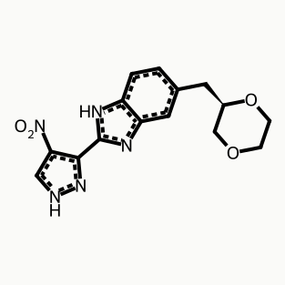 O=[N+]([O-])c1c[nH]nc1-c1nc2cc(C[C@@H]3COCCO3)ccc2[nH]1